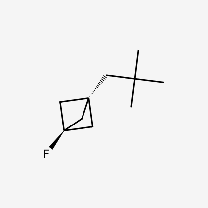 CC(C)(C)C[C@]12C[C@@](F)(C1)C2